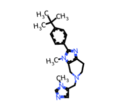 Cn1cncc1CN1CCc2nc(-c3ccc(C(C)(C)C)cc3)n(C)c2C1